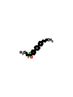 CCCCC1CCC(C2CCC(c3ccc(C(=O)C(F)(F)CCC)cc3)CC2)CC1